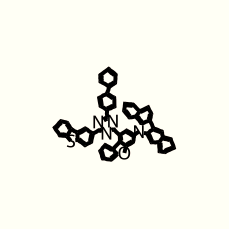 c1ccc(-c2ccc(-c3nc(-c4ccc5sc6ccccc6c5c4)nc(-c4cc(-n5c6cc7ccccc7cc6c6ccc7ccccc7c65)cc5oc6ccccc6c45)n3)cc2)cc1